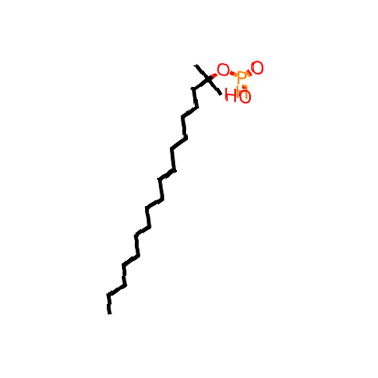 CCCCCCCCCCCCCCCCC(C)(C)O[PH](=O)O